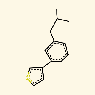 CC(C)Cc1cccc(-c2ccsc2)c1